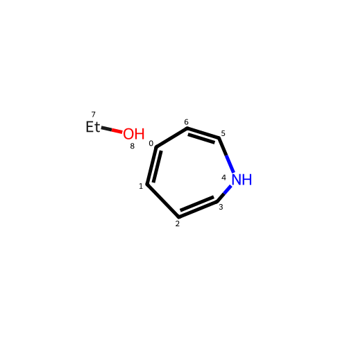 C1=CC=CNC=C1.CCO